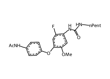 CCCCCNC(=O)Nc1cc(OC)c(Oc2ccc(NC(C)=O)cc2)cc1F